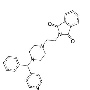 O=C1c2ccccc2C(=O)N1CCN1CCN(C(c2ccccc2)c2ccncc2)CC1